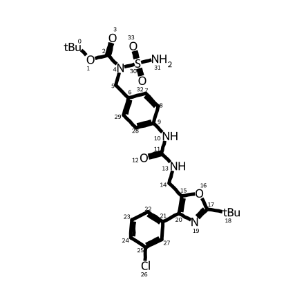 CC(C)(C)OC(=O)N(Cc1ccc(NC(=O)NCc2oc(C(C)(C)C)nc2-c2cccc(Cl)c2)cc1)S(N)(=O)=O